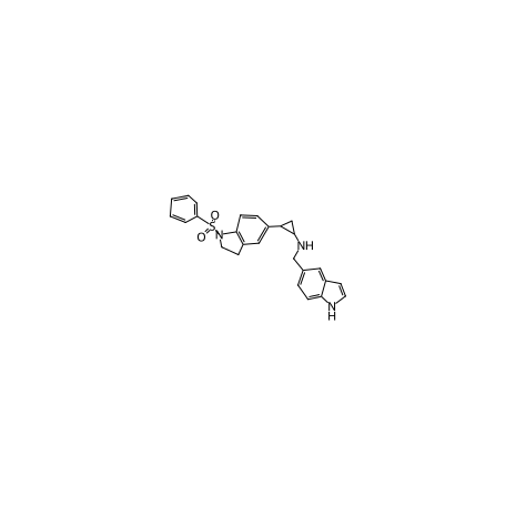 O=S(=O)(c1ccccc1)N1CCc2cc(C3CC3NCc3ccc4[nH]ccc4c3)ccc21